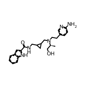 C[C@@H](CO)N(CCc1ccc(N)nc1)CC1CC1CNC(=O)c1cc2ccccc2[nH]1